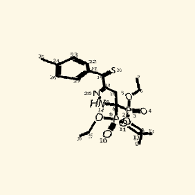 CCOP(=O)(OCC)C1(P(=O)(OCC)OCC)CC(C(=S)c2ccc(C)cc2)=NN1